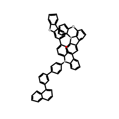 c1cc(-c2ccc(N(c3ccc(-c4ccc5c(c4)oc4ccccc45)cc3)c3ccccc3-c3ccc4c(c3)c3cccc5c3n4-c3ccccc3O5)cc2)cc(-c2cccc3ccccc23)c1